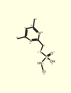 CCNP(=O)(O)SCc1nc(C)cc(C)n1